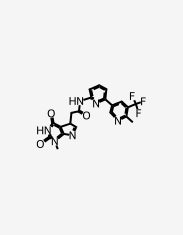 Cc1ncc(-c2cccc(NC(=O)CC3C=Nc4c3c(=O)[nH]c(=O)n4C)n2)cc1C(F)(F)F